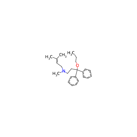 CCCOC(CCN(C)CC=C(C)C)(c1ccccc1)c1ccccc1